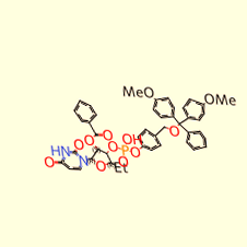 CC[C@H]1O[C@@H](n2ccc(=O)[nH]c2=O)[C@@H](OC(=O)c2ccccc2)C1OP(=O)(O)Oc1ccc(COC(c2ccccc2)(c2ccc(OC)cc2)c2ccc(OC)cc2)cc1